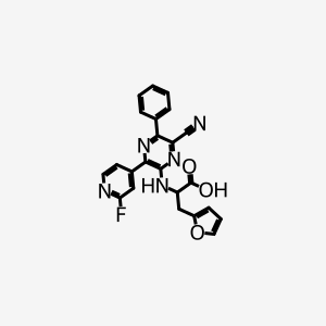 N#Cc1nc(NC(Cc2ccco2)C(=O)O)c(-c2ccnc(F)c2)nc1-c1ccccc1